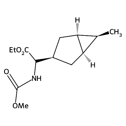 CCOC(=O)C(NC(=O)OC)[C@@H]1C[C@@H]2[C@H](C)[C@@H]2C1